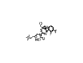 COC[C@]12C[C@H]1[C@@](C)(c1cccc(F)c1F)N=C(N(COCC[Si](C)(C)C)C(=O)O)S2